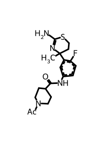 CC(=O)N1CCC(C(=O)Nc2ccc(F)c(C3(C)CCSC(N)=N3)c2)CC1